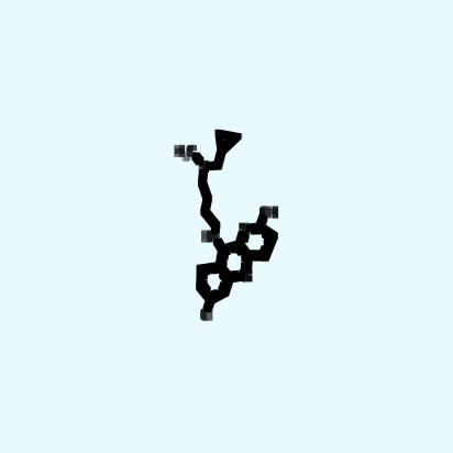 CN(CCCCNc1c2ccc(Cl)cc2nc2ccc(O)nc12)CC1CC1